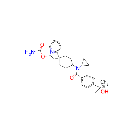 C[C@](O)(c1ccc(C(=O)N(C2CC2)C2CCC(CCOC(N)=O)(c3ccccn3)CC2)cc1)C(F)(F)F